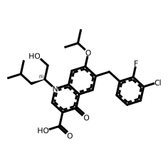 CC(C)C[C@@H](CO)n1cc(C(=O)O)c(=O)c2cc(Cc3cccc(Cl)c3F)c(OC(C)C)cc21